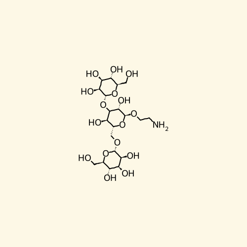 NCCO[C@H]1O[C@H](CO[C@H]2O[C@H](CO)[C@@H](O)[C@H](O)[C@@H]2O)[C@@H](O)C(O[C@H]2O[C@H](CO)[C@@H](O)[C@H](O)[C@@H]2O)[C@@H]1O